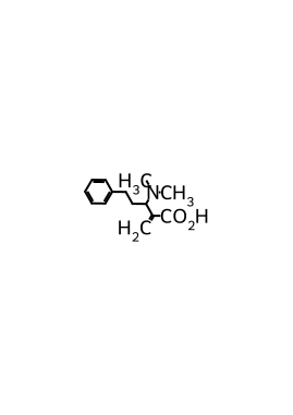 C=C(C(=O)O)C(CCc1ccccc1)N(C)C